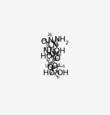 CCC(O)(CC)P(=O)(O)OC(C(C)C)[C@H]1OC[C@](O)(n2cnc3c(=O)n(C)c(N)nc32)[C@@H]1O